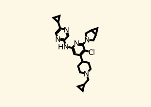 Clc1c(C2CCN(CC3CC3)CC2)cc(Nc2cnc(C3CC3)cn2)nc1N1CC2CC2C1